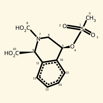 CS(=O)(=O)O[C@@H]1CN(C(=O)O)[C@H](C(=O)O)c2ccccc21